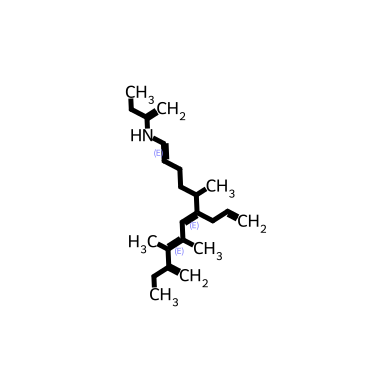 C=CC/C(=C\C(C)=C(/C)C(=C)CC)C(C)CC/C=C/NC(=C)CC